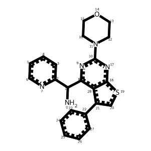 NC(c1ccccn1)c1nc(N2CCOCC2)nc2scc(-c3ccccc3)c12